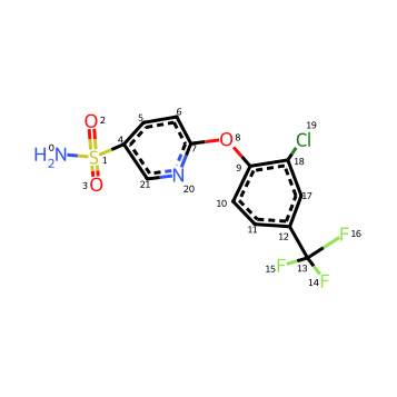 NS(=O)(=O)c1ccc(Oc2ccc(C(F)(F)F)cc2Cl)nc1